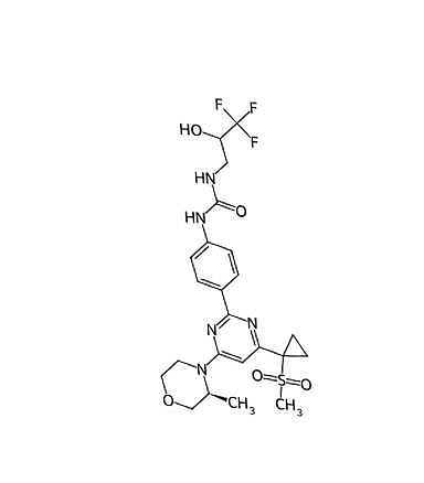 C[C@H]1COCCN1c1cc(C2(S(C)(=O)=O)CC2)nc(-c2ccc(NC(=O)NCC(O)C(F)(F)F)cc2)n1